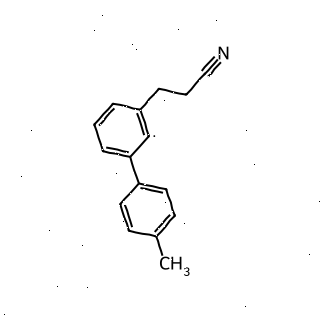 Cc1ccc(-c2[c]c(CCC#N)ccc2)cc1